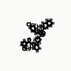 O=C(NCC1(N2CCN(C(=O)C(Cc3ccc(Cl)cc3)NC(=O)C3Cc4ccccc4CN3)CC2)CCCCC1)c1cccc(O)c1